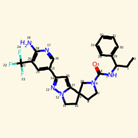 CCC(NC(=O)N1CCC2(CCn3nc(-c4cnc(N)c(C(F)(F)F)c4)cc32)C1)c1ccccc1